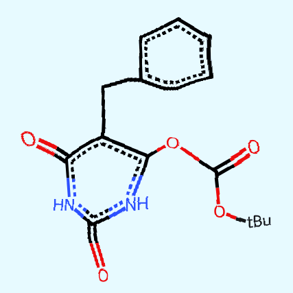 CC(C)(C)OC(=O)Oc1[nH]c(=O)[nH]c(=O)c1Cc1ccccc1